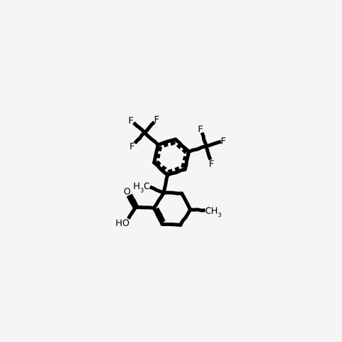 CC1CC=C(C(=O)O)C(C)(c2cc(C(F)(F)F)cc(C(F)(F)F)c2)C1